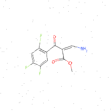 COC(=O)C(=CN)C(=O)c1cc(F)c(F)cc1F